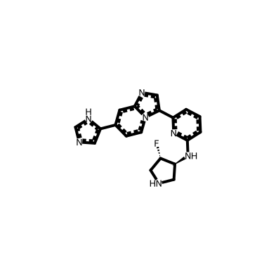 F[C@H]1CNC[C@@H]1Nc1cccc(-c2cnc3cc(-c4cnc[nH]4)ccn23)n1